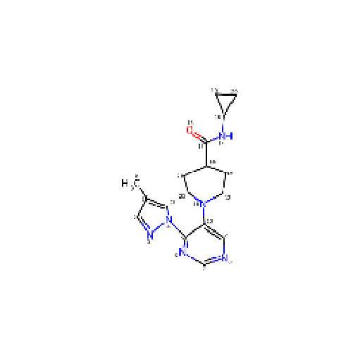 Cc1cnn(-c2ncncc2N2CCC(C(=O)NC3CC3)CC2)c1